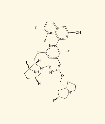 Oc1cc(-c2nc3c4c(nc(OC[C@]56CCCN5C[C@@H](F)C6)nc4c2F)N2C[C@@H]4CC[C@@H](N4)[C@@H]2CO3)c2c(F)c(F)ccc2c1